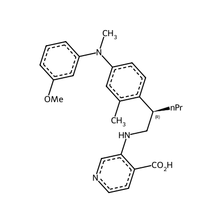 CCC[C@@H](CNc1cnccc1C(=O)O)c1ccc(N(C)c2cccc(OC)c2)cc1C